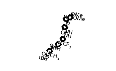 COc1cc2nccc(Oc3cccc(NC(=O)Nc4ccc(N5CCC(NC(=O)C6CCN(C(=O)OC(C)(C)C)C(C)C6)CC5)c(C(F)(F)F)c4)c3)c2cc1OC